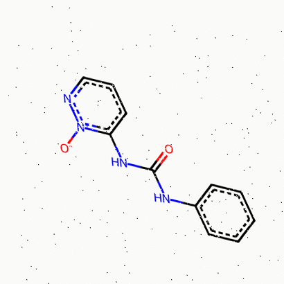 O=C(Nc1ccccc1)Nc1cccn[n+]1[O-]